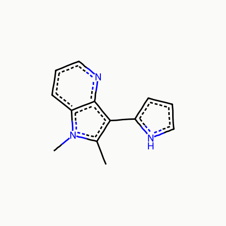 Cc1c(-c2ccc[nH]2)c2ncccc2n1C